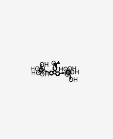 O=C(C1CC1)N1CCC2(CC1)c1cc(C#C[C@H]3O[C@H](CO)[C@@H](O)[C@H](O)[C@@H]3O)ccc1-c1ccc(C#C[C@H]3O[C@H](CCO)[C@@H](O)[C@H](O)[C@@H]3O)cc12